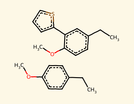 CCc1ccc(OC)c(-c2cccs2)c1.CCc1ccc(OC)cc1